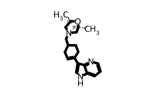 C[C@@H]1CN(CC2CC=C(c3c[nH]c4cccnc34)CC2)C[C@H](C)O1